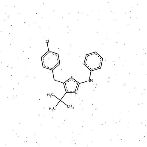 CC(C)(C)c1nc(Nc2ccccc2)sc1Cc1ccc(Cl)cc1